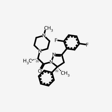 C[C@@H](C(=O)N1N=C(c2cc(F)ccc2F)C[C@@]1(C)c1ccccc1)N1CCN(C)CC1